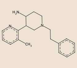 Cc1cccnc1C1CN(CCc2ccccc2)CCC1N